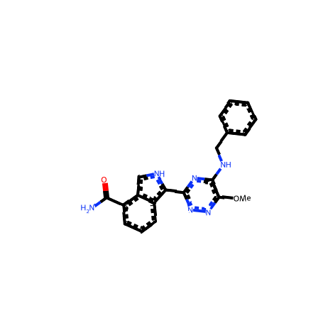 COc1nnc(-c2[nH]cc3c(C(N)=O)cccc23)nc1NCc1ccccc1